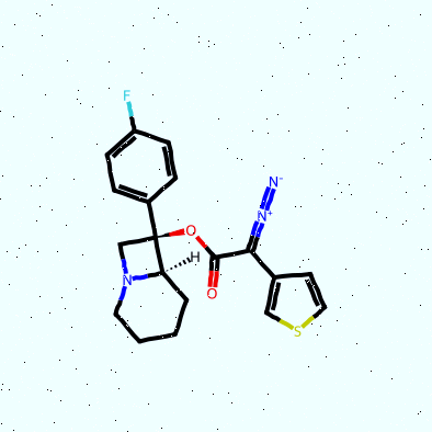 [N-]=[N+]=C(C(=O)O[C@]1(c2ccc(F)cc2)CN2CCCC[C@@H]21)c1ccsc1